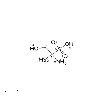 NC(S)(CO)S(=O)(=O)O